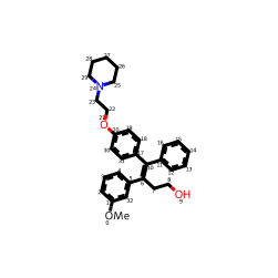 COc1cccc(C(CCO)=C(c2ccccc2)c2ccc(OCCN3CCCCC3)cc2)c1